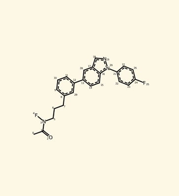 CC(=O)N(F)CCCc1cccc(-c2ccc3c(cnn3-c3ccc(F)cc3)c2)c1